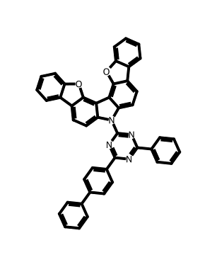 c1ccc(-c2ccc(-c3nc(-c4ccccc4)nc(-n4c5ccc6c7ccccc7oc6c5c5c6oc7ccccc7c6ccc54)n3)cc2)cc1